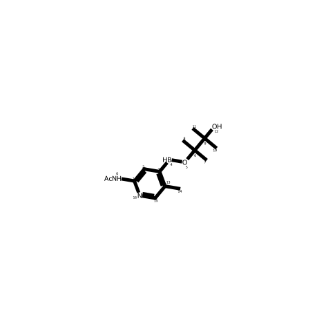 CC(=O)Nc1cc(BOC(C)(C)C(C)(C)O)c(C)cn1